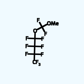 COC(F)(F)OC(F)(F)C(F)(F)C(F)(F)C(F)(F)F